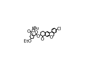 CCOC1CC(C(=O)OC2CCc3cc4c(cc3C2=O)OCc2cc(Cl)ccc2-4)N(C(=O)OC(C)(C)C)C1